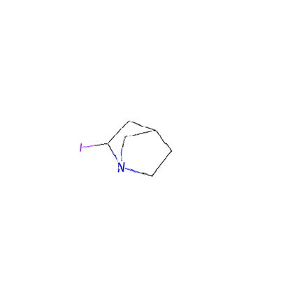 IC1CC2CCN1C2